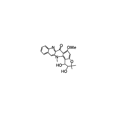 COc1cc2c(c3c1c(=O)c1nc4ccccc4cc1n3C)C(O)C(O)C(C)(C)O2